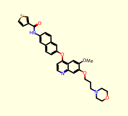 COc1cc2c(Oc3ccc4cc(NC(=O)c5ccsc5)ccc4c3)ccnc2cc1OCCCN1CCOCC1